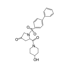 O=C1CC(C(=O)N2CCC(O)CC2)N(S(=O)(=O)c2ccc(-c3ccccc3)cc2)C1